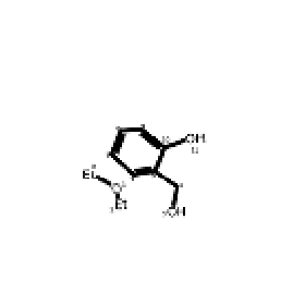 CCOCC.OCc1ccccc1O